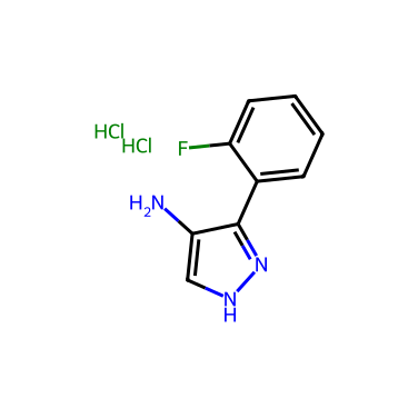 Cl.Cl.Nc1c[nH]nc1-c1ccccc1F